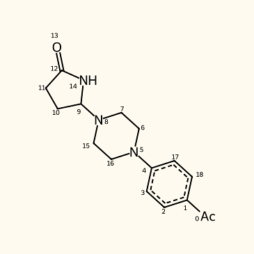 CC(=O)c1ccc(N2CCN(C3CCC(=O)N3)CC2)cc1